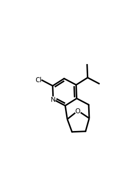 CC(C)c1cc(Cl)nc2c1CC1CCC2O1